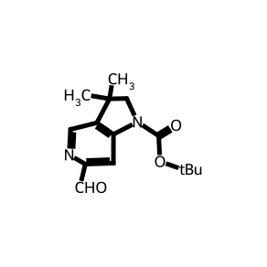 CC(C)(C)OC(=O)N1CC(C)(C)c2cnc(C=O)cc21